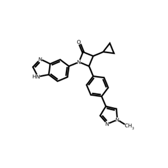 Cn1cc(-c2ccc(C3C(C4CC4)C(=O)N3c3ccc4[nH]cnc4c3)cc2)cn1